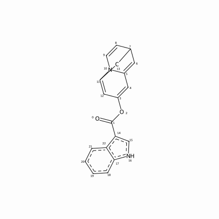 O=C(OC1=CC2=CC3C=CN2C(=C1)C3)c1c[nH]c2ccccc12